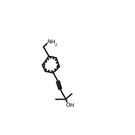 CC(C)(O)C#Cc1ccc(CN)cc1